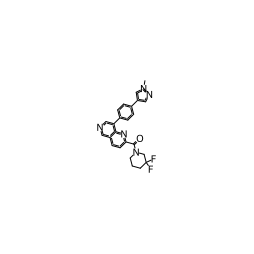 Cn1cc(-c2ccc(-c3cncc4ccc(C(=O)N5CCCC(F)(F)C5)nc34)cc2)cn1